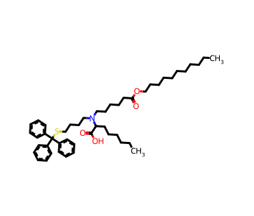 CCCCCCCCCCCOC(=O)CCCCCN(CCCCSC(c1ccccc1)(c1ccccc1)c1ccccc1)C(CCCCCC)C(=O)O